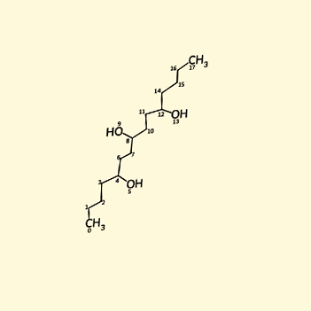 CCCCC(O)CCC(O)CCC(O)CCCC